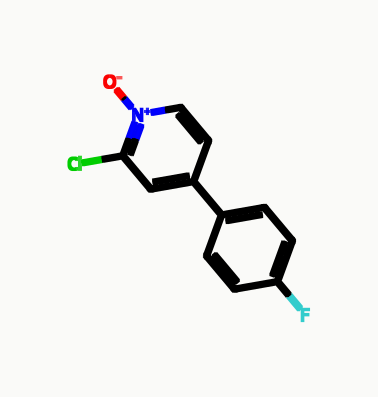 [O-][n+]1ccc(-c2ccc(F)cc2)cc1Cl